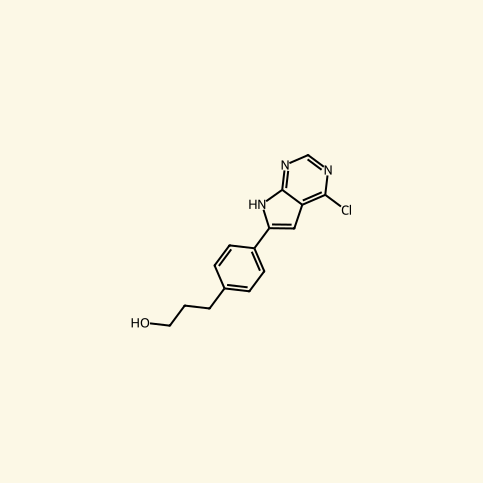 OCCCc1ccc(-c2cc3c(Cl)ncnc3[nH]2)cc1